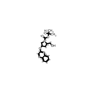 CC(C)(C)OC(=O)N1CC(Oc2cnc3ccccc3n2)CC1CO